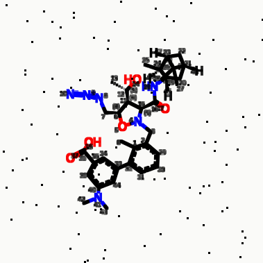 Cc1c(CN2O[C@@H](CN=[N+]=[N-])[C@@H]([C@H](C)O)[C@H]2C(=O)N[C@H]2C[C@H]3C[C@@H]([C@@H]2C)C3(C)C)cccc1-c1cc(C(=O)O)cc(N(C)C)c1